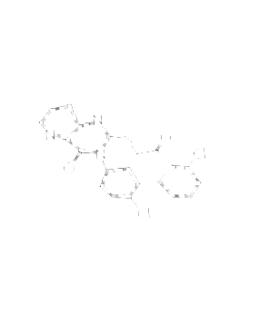 O=C(CSc1nc2cccnc2c(=O)n1-c1ccc(Cl)cc1)c1ccccc1Cl